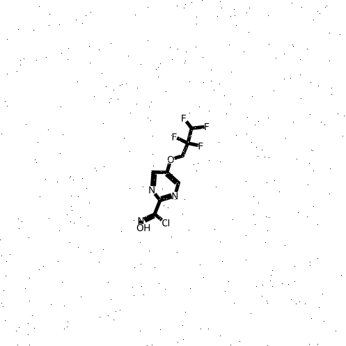 ON=C(Cl)c1ncc(OCC(F)(F)C(F)F)cn1